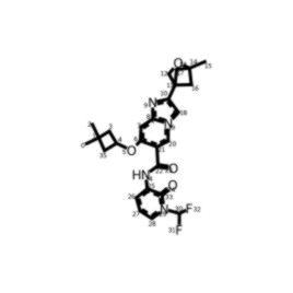 CC1(C)CC(Oc2cc3nc(C45COC(C)(C4)C5)cn3cc2C(=O)Nc2cccn(C(F)F)c2=O)C1